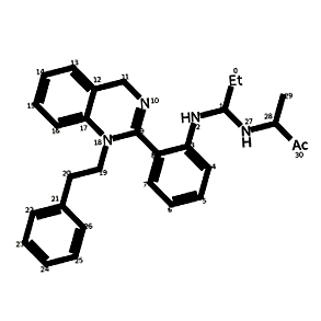 CCC(Nc1ccccc1C1=NCc2ccccc2N1CCc1ccccc1)NC(C)C(C)=O